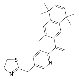 C=C(c1ccc(CC2=NCCS2)cn1)c1cc2c(cc1C)C(C)(C)C=CC2(C)C